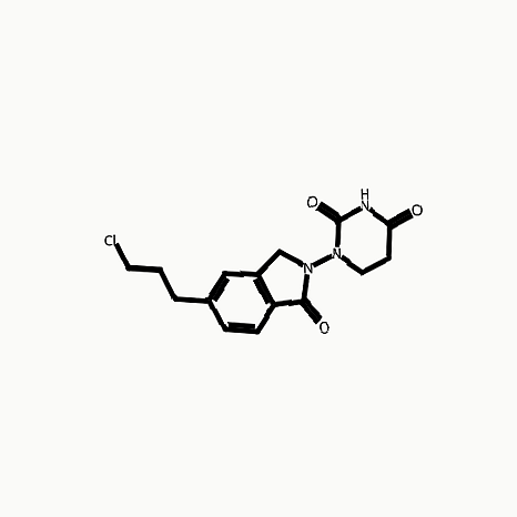 O=C1CCN(N2Cc3cc(CCCCl)ccc3C2=O)C(=O)N1